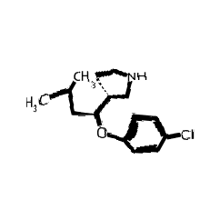 CC(C)C[C@H](Oc1ccc(Cl)cc1)[C@@H]1CCNC1